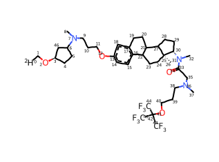 [2H]CO[C@@H]1CCC(N(C)CCCOc2ccc3c(c2)CCC2C3CC[C@@]3(C)C2CC[C@@H]3N(C)C(=O)CN(C)CCCOC(C(F)(F)F)(C(F)(F)F)C(F)(F)F)C1